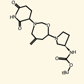 C=C1CC(N2CC[C@@H](NC(=O)OC(C)(C)C)C2)OCN(C2CCC(=O)NC2=O)C1